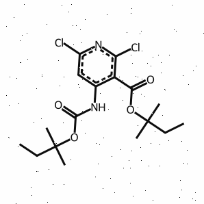 CCC(C)(C)OC(=O)Nc1cc(Cl)nc(Cl)c1C(=O)OC(C)(C)CC